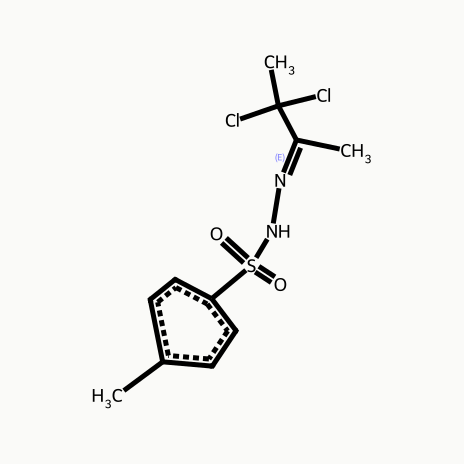 C/C(=N\NS(=O)(=O)c1ccc(C)cc1)C(C)(Cl)Cl